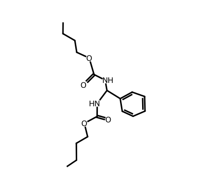 CCCCOC(=O)NC(NC(=O)OCCCC)c1ccccc1